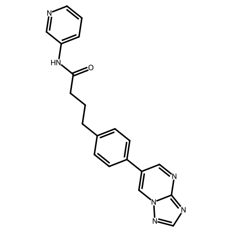 O=C(CCCc1ccc(-c2cnc3ncnn3c2)cc1)Nc1cccnc1